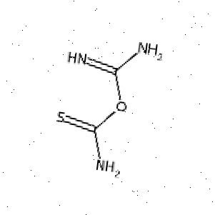 N=C(N)OC(N)=S